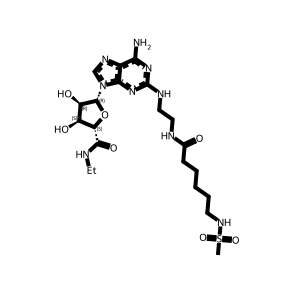 CCNC(=O)[C@H]1O[C@@H](n2cnc3c(N)nc(NCCNC(=O)CCCCCNS(C)(=O)=O)nc32)[C@H](O)[C@@H]1O